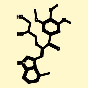 COc1cc(C(=O)C(=Cc2c[nH]c3cccc(C)c23)SCC(O)CO)cc(OC)c1OC